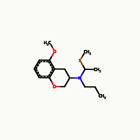 CCCN(C1COc2cccc(OC)c2C1)C(C)SC